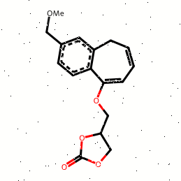 COCc1ccc2c(c1)CC=CC=C2OCC1COC(=O)O1